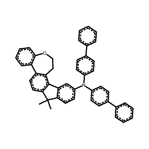 CC1(C)c2ccc(N(c3ccc(-c4ccccc4)cc3)c3ccc(-c4ccccc4)cc3)cc2-c2c1ccc1c2CCOc2ccccc2-1